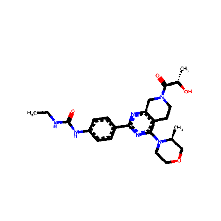 CCNC(=O)Nc1ccc(-c2nc3c(c(N4CCOC[C@@H]4C)n2)CCN(C(=O)[C@H](C)O)C3)cc1